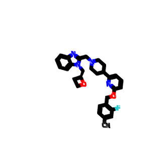 N#Cc1ccc(COc2cccc(C3CCN(Cc4nc5ccccc5n4C[C@@H]4CCO4)CC3)n2)c(F)c1